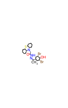 CC(=NNC(=O)CN1c2ccccc2Sc2ccccc21)c1cc(Br)c(O)c(Br)c1